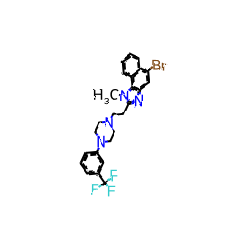 Cn1c(CCN2CCN(c3cccc(C(F)(F)F)c3)CC2)nc2cc(Br)c3ccccc3c21